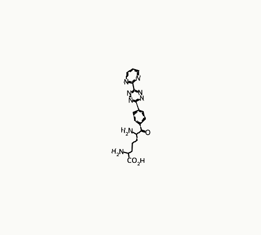 NC(CCCC(N)C(=O)c1ccc(-c2nnc(-c3ncccn3)nn2)cc1)C(=O)O